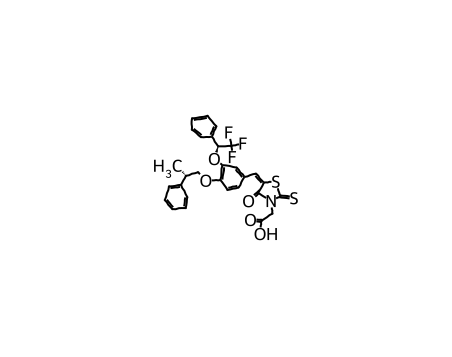 C[C@H](COc1ccc(C=C2SC(=S)N(CC(=O)O)C2=O)cc1O[C@@H](c1ccccc1)C(F)(F)F)c1ccccc1